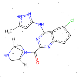 Cc1cc(Nc2nc(C(=O)N3C[C@H]4C[C@@H]3CN4)nc3ccc(Cl)cc23)n[nH]1